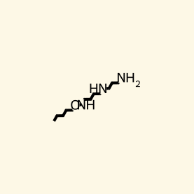 CCCCCONCCCCNCCCN